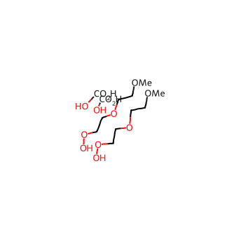 COCCOCCOO.COCCOCCOO.O=C(O)O.O=C(O)O